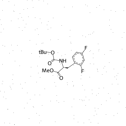 COC(=O)[C@H](Cc1ccc(F)cc1F)NC(=O)OC(C)(C)C